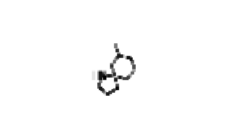 CC1CCCC2(CCCN2)C1